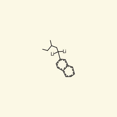 [Li][C]([Li])(CC(C)CC)c1ccc2ccccc2c1